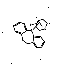 c1ccc2c(c1)CCc1ccccc1N2[C@@H]1CN2CCC1CC2